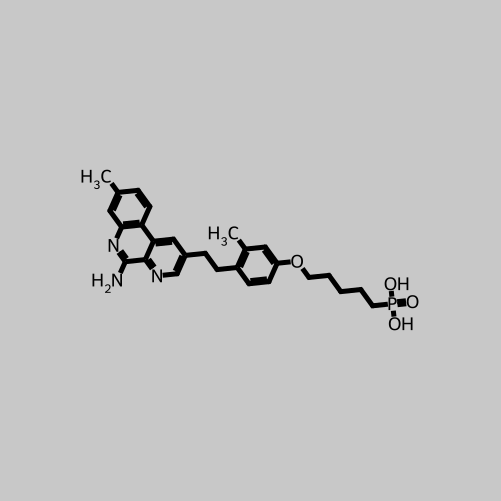 Cc1ccc2c(c1)nc(N)c1ncc(CCc3ccc(OCCCCCP(=O)(O)O)cc3C)cc12